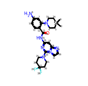 C[Si]1(C)CCN(c2cc(N)ccc2C(=O)Nc2cc3nccn3c(N3CCC(F)(F)CC3)n2)CC1